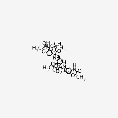 CC1Oc2ccc(NC(C)(C(=O)OC(C)(C)C)c3ccc(CC(N)(C(=O)OC(C)(C)C)c4ccc5c(c4)NC(=O)C(C)O5)cc3)cc2NC1=O